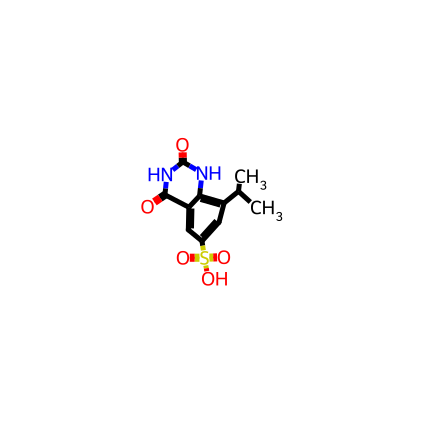 CC(C)c1cc(S(=O)(=O)O)cc2c(=O)[nH]c(=O)[nH]c12